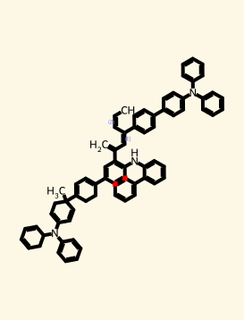 C=C(/C=C(\C=C/C)c1ccc(-c2ccc(N(c3ccccc3)c3ccccc3)cc2)cc1)c1cc(C2=CC=C(C3(C)C=CC(N(c4ccccc4)C4C=CC=CC4)=CC3)CC2)ccc1Nc1ccccc1-c1ccccc1